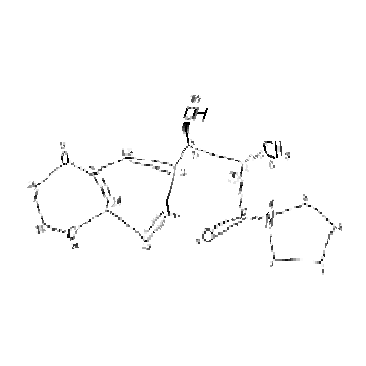 C[C@H](C(=O)N1CCCC1)[C@H](O)c1ccc2c(c1)OCCO2